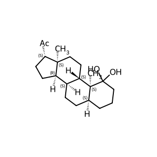 CC(=O)[C@H]1CC[C@@H]2[C@@H]3CC[C@@H]4CCCC(O)(O)[C@]4(C)[C@H]3CC[C@]12C